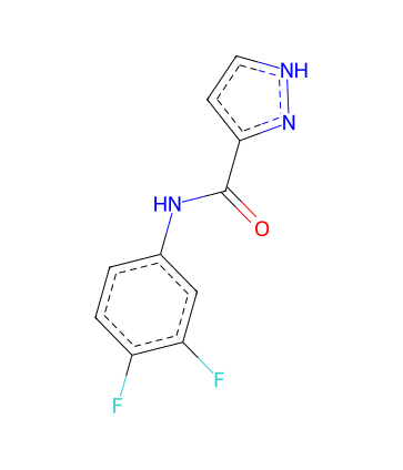 O=C(Nc1ccc(F)c(F)c1)c1cc[nH]n1